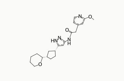 COc1cc(CC(=O)Nc2cc([C@@H]3CC[C@H](C4CCCCO4)C3)[nH]n2)ccn1